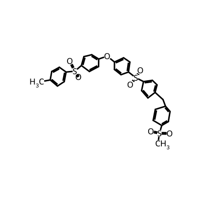 Cc1ccc(S(=O)(=O)c2ccc(Oc3ccc(S(=O)(=O)c4ccc(Cc5ccc(S(C)(=O)=O)cc5)cc4)cc3)cc2)cc1